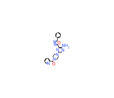 Nc1ncc(N2CCN(C(=O)c3ccccn3)CC2)nc1-c1nnc(-c2ccccc2)o1